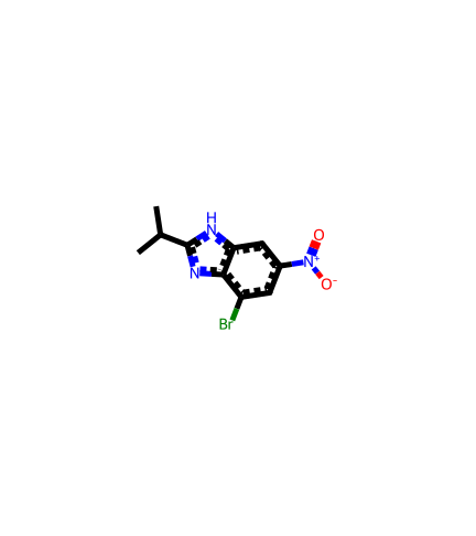 CC(C)c1nc2c(Br)cc([N+](=O)[O-])cc2[nH]1